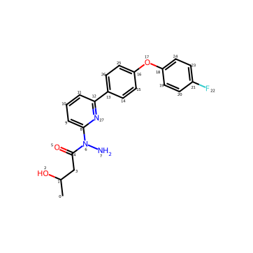 CC(O)CC(=O)N(N)c1cccc(-c2ccc(Oc3ccc(F)cc3)cc2)n1